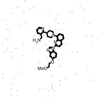 COCCOc1ccc2c(c1)ncn2-c1ccc2cccc(N3CCC(c4ncccc4CN)CC3)c2n1